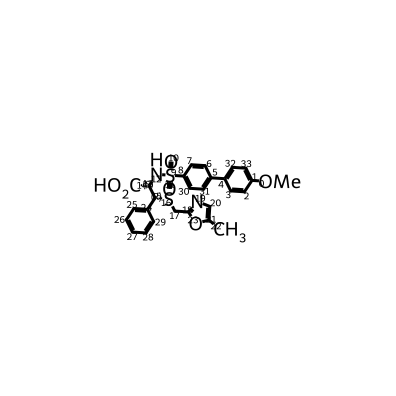 COc1ccc(-c2ccc(S(=O)(=O)N[C@@H](C(=O)O)[C@H](SCc3ncc(C)o3)c3ccccc3)cc2)cc1